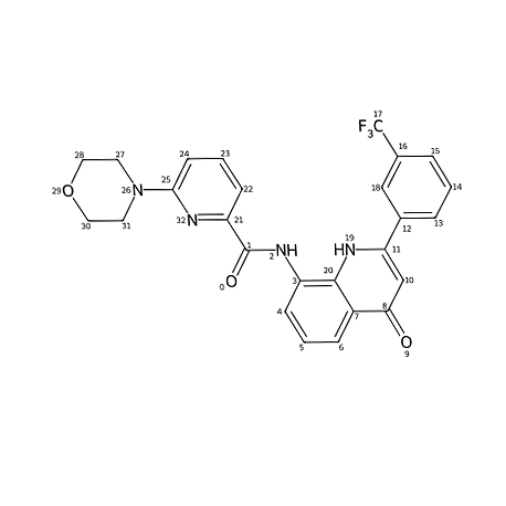 O=C(Nc1cccc2c(=O)cc(-c3cccc(C(F)(F)F)c3)[nH]c12)c1cccc(N2CCOCC2)n1